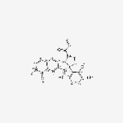 C=CC(=O)N1CC[C@@](Nc2ccc3ccn(C)c(=O)c3n2)(c2c(F)ccc(Cl)c2Cl)C1